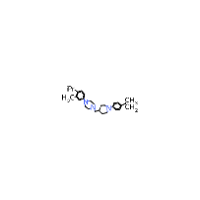 C=C(C)c1ccc(N2CCC(CN3CCN(c4ccc(C(C)C)c(C)c4)CC3)CC2)cc1